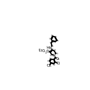 CCOC(=O)C1=C(NCCc2ccccc2)CCN(C(=O)c2ccc(Cl)cc2Cl)C1